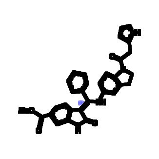 COC(=O)c1ccc2c(c1)NC(=O)/C2=C(\Nc1ccc2c(c1)CCN2C(=O)Cc1ccc[nH]1)c1ccccc1